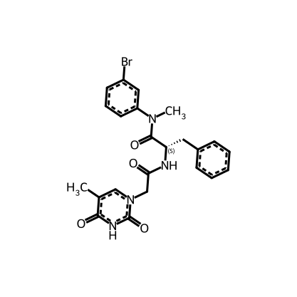 Cc1cn(CC(=O)N[C@@H](Cc2ccccc2)C(=O)N(C)c2cccc(Br)c2)c(=O)[nH]c1=O